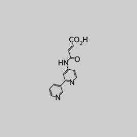 O=C(O)C=CC(=O)Nc1ccnc(-c2cccnc2)c1